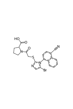 N#Cc1ccc(-n2c(Br)cnc2SCC(=O)N2CCCC2C(=O)O)c2ccccc12